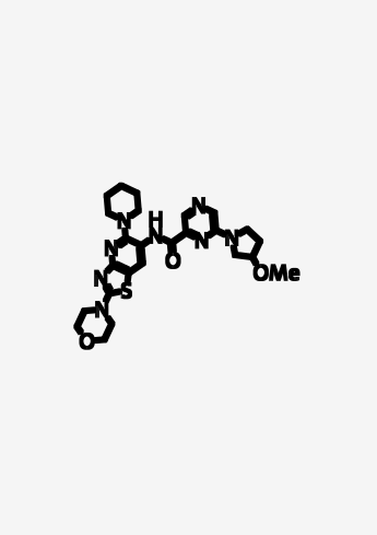 COC1CCN(c2cncc(C(=O)Nc3cc4sc(N5CCOCC5)nc4nc3N3CCCCC3)n2)C1